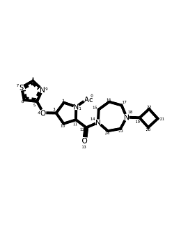 CC(=O)N1CC(Oc2cscn2)CC1C(=O)N1CCCN(C2CCC2)CC1